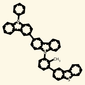 Cc1c(-c2ccc3sc4ccccc4c3c2)cccc1-n1c2ccccc2c2cc(-c3ccc4c(c3)c3ccccc3n4-c3ccccc3)ccc21